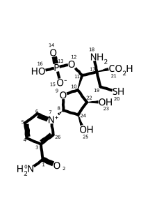 NC(=O)c1ccc[n+]([C@@H]2O[C@@H](C(OP(=O)([O-])O)[C@](N)(CS)C(=O)O)[C@@H](O)[C@H]2O)c1